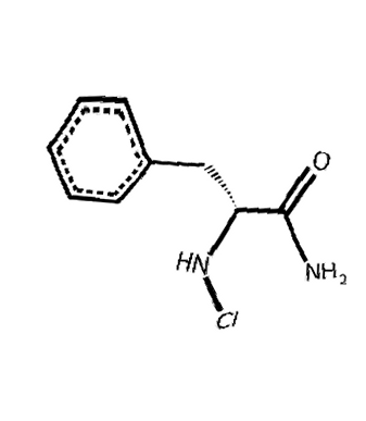 NC(=O)[C@@H](Cc1ccccc1)NCl